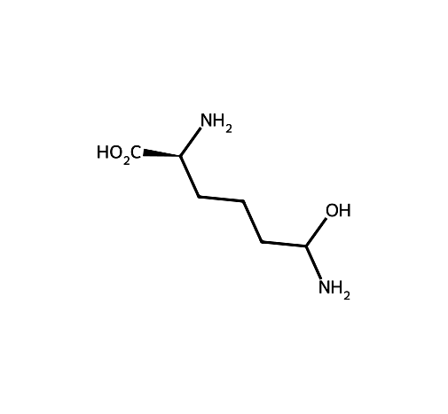 NC(O)CCC[C@H](N)C(=O)O